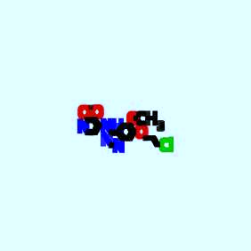 COc1cc2c(Nc3ccnc4c3OCO4)ncnc2cc1OCCCCl